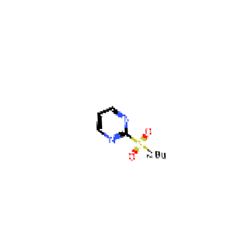 CC[C@H](C)S(=O)(=O)c1ncccn1